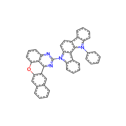 c1ccc(-n2c3ccccc3c3ccc4c(c5ccccc5n4-c4nc5c6c(cccc6n4)Oc4cc6ccccc6cc4-5)c32)cc1